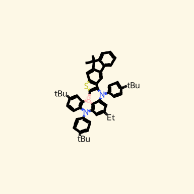 CCc1cc2c3c(c1)N(c1ccc(C(C)(C)C)cc1)c1c(sc4cc5c(cc14)-c1ccccc1C5(C)C)B3c1cc(C(C)(C)C)ccc1N2c1ccc(C(C)(C)C)cc1